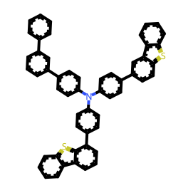 c1ccc(-c2cccc(-c3ccc(N(c4ccc(-c5ccc6sc7ccccc7c6c5)cc4)c4ccc(-c5cccc6c5sc5ccccc56)cc4)cc3)c2)cc1